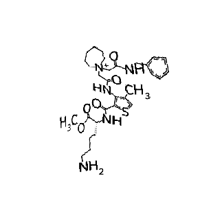 COC(=O)[C@@H](CCCCN)NC(=O)c1scc(C)c1NC(=O)C[N+]1(CC(=O)NCc2ccccc2)CCCCCC1